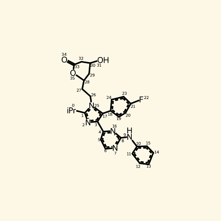 CC(C)c1nc(-c2ccnc(Nc3ccccc3)n2)c(-c2ccc(F)cc2)n1CCC1CC(O)CC(=O)O1